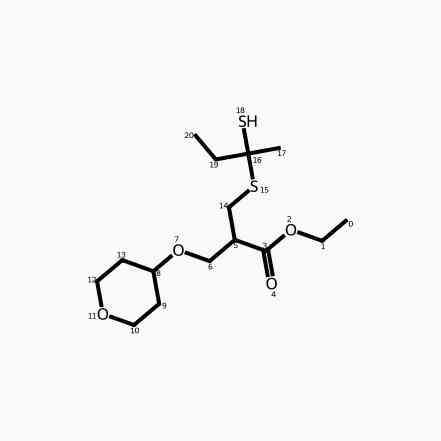 CCOC(=O)C(COC1CCOCC1)CSC(C)(S)CC